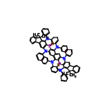 CC1(C)c2ccccc2-c2cc3c4c(c21)N(c1ccccc1)c1cccc2c1P4(=S)c1c(cc4c5c6c(cc4c1N2c1ccccc1)N(c1ccccc1)c1cc2c(c4c1P6(=S)c1c(cccc1N5c1ccccc1)N4c1ccccc1)C(C)(C)c1ccccc1-2)N3c1ccccc1